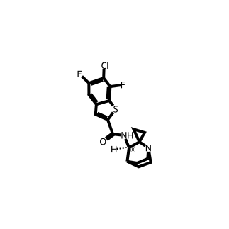 O=C(N[C@@H]1C2CCN(CC2)C12CC2)c1cc2cc(F)c(Cl)c(F)c2s1